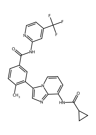 Cc1ccc(C(=O)Nc2cc(C(F)(F)F)ccn2)cc1-c1cnc2c(NC(=O)C3CC3)cccn12